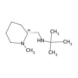 CN1CCCC[C@@H]1CNC(C)(C)C